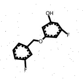 Oc1cc(F)cc(OCc2cccc(F)c2)c1